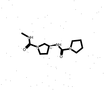 CNC(=O)N1CC[C@H](NC(=O)N2CCCC2)C1